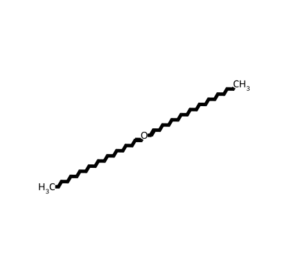 CCCCCCCCCCCCCCCCCCC=COC=CCCCCCCCCCCCCCCCCCC